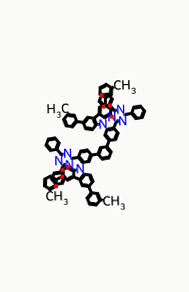 Cc1cccc(-c2ccc3c(c2)c2cc(-c4cccc(C)c4)ccc2n3-c2cc(-c3cccc(-c4ccc(-c5nc(-c6ccccc6)nc(-c6ccccc6)n5)c(-n5c6ccc(-c7cccc(C)c7)cc6c6cc(-c7cccc(C)c7)ccc65)c4)c3)ccc2-c2nc(-c3ccccc3)nc(-c3ccccc3)n2)c1